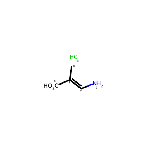 C/C(=C\N)C(=O)O.Cl